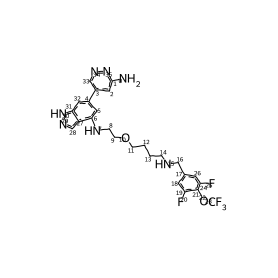 Nc1cc(-c2cc(NCCOCCCCNCc3cc(F)c(OC(F)(F)F)c(F)c3)c3cn[nH]c3c2)cnn1